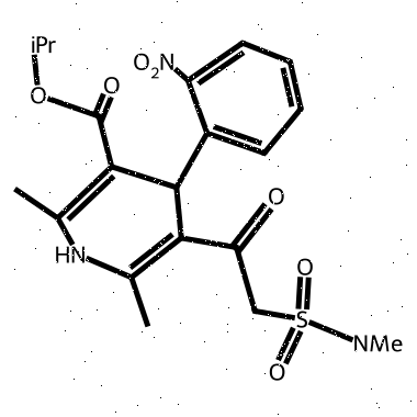 CNS(=O)(=O)CC(=O)C1=C(C)NC(C)=C(C(=O)OC(C)C)C1c1ccccc1[N+](=O)[O-]